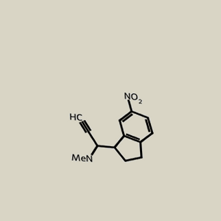 C#CC(NC)C1CCc2ccc([N+](=O)[O-])cc21